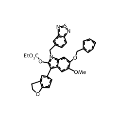 CCOC(=O)Oc1c(-c2ccc3c(c2)CCO3)c2cc(OC)c(OCc3ccccc3)cc2n1Cc1ccc2nsnc2c1